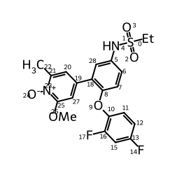 CCS(=O)(=O)Nc1ccc(Oc2ccc(F)cc2F)c(-c2cc(C)[n+]([O-])c(OC)c2)c1